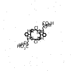 CCCOC(CCOc1ccccc1-c1c2nc(c(Cl)c3ccc([nH]3)c(-c3ccccc3OCCC(CC(=O)O)OCCC)c3nc(c(Cl)c4ccc1[nH]4)C=C3)C=C2)CC(=O)O